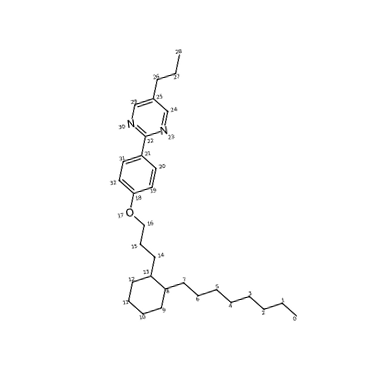 CCCCCCCCC1CCCCC1CCCOc1ccc(-c2ncc(CCC)cn2)cc1